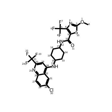 COc1nc(C(F)(F)F)c(C(=O)NC2CCC(Nc3cc(C(F)(F)F)nc4ccc(Cl)cc34)CC2)s1